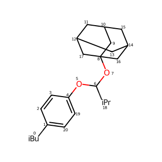 CCC(C)c1ccc(OC(OC23CC4CC(CC(C4)C2)C3)C(C)C)cc1